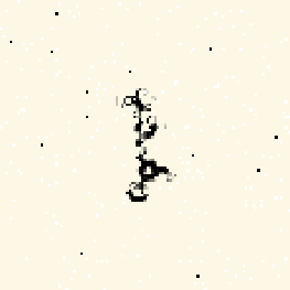 C=C(C)C(=O)OCCN(/C=C\C)/C=N/Cc1cc(CBr)cc(B2OCCCO2)c1